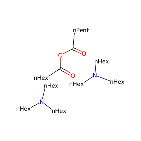 CCCCCCC(=O)OC(=O)CCCCC.CCCCCCN(CCCCCC)CCCCCC.CCCCCCN(CCCCCC)CCCCCC